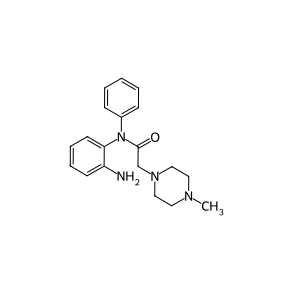 CN1CCN(CC(=O)N(c2ccccc2)c2ccccc2N)CC1